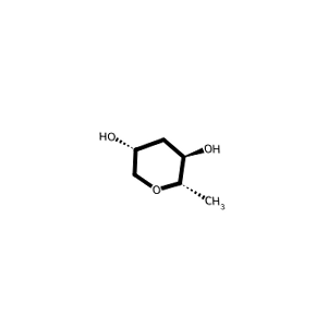 C[C@@H]1OC[C@H](O)C[C@H]1O